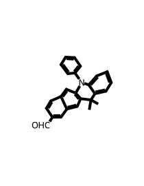 CC1(C)c2ccccc2N(c2ccccc2)c2cc3ccc(C=O)cc3cc21